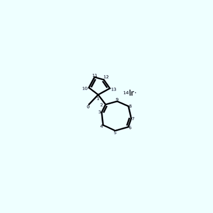 CC1(C2=CCCC=CCC2)C=CC=C1.[Ir]